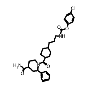 NC(=O)C1CCN(C(=O)C2CCC(CCCNC(=O)Oc3ccc(Cl)cc3)CC2)C(c2ccccc2)C1